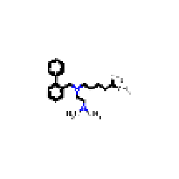 CC(C)CCCCN(CCN(C)C)Cc1ccccc1-c1ccccc1